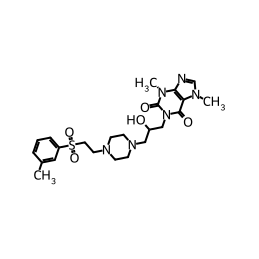 Cc1cccc(S(=O)(=O)CCN2CCN(CC(O)Cn3c(=O)c4c(ncn4C)n(C)c3=O)CC2)c1